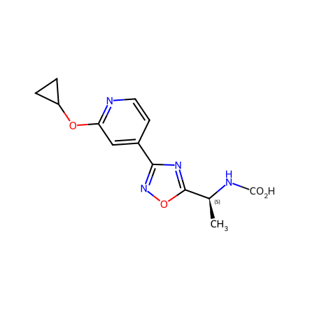 C[C@H](NC(=O)O)c1nc(-c2ccnc(OC3CC3)c2)no1